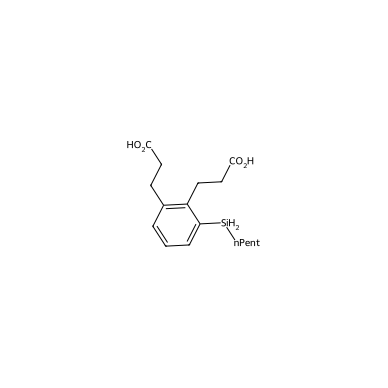 CCCCC[SiH2]c1cccc(CCC(=O)O)c1CCC(=O)O